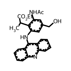 CCOC(=O)C(C)c1c(NC(C)=O)cc(CO)cc1Nc1c2ccccc2nc2ccccc12